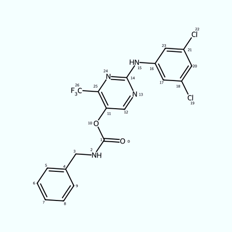 O=C(NCc1ccccc1)Oc1cnc(Nc2cc(Cl)cc(Cl)c2)nc1C(F)(F)F